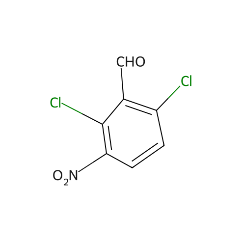 O=Cc1c(Cl)ccc([N+](=O)[O-])c1Cl